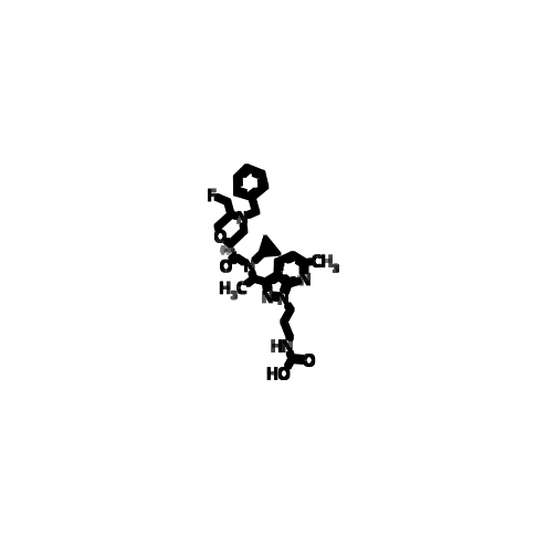 Cc1ccc2c(C(C)N(C(=O)[C@H]3CN(Cc4ccccc4)C(CF)CO3)C3CC3)nn(CCCNC(=O)O)c2n1